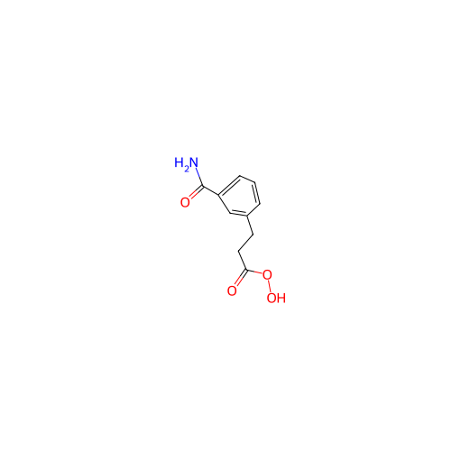 NC(=O)c1cccc(CCC(=O)OO)c1